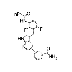 CCCC(=O)Nc1ccc(F)c(Cc2c[nH]c3ncc(-c4cccc(C(N)=O)c4)cc23)c1F